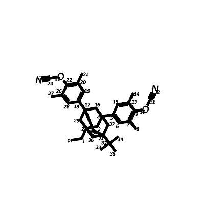 CCC12CC3(c4cc(C)c(OC#N)c(C)c4)CC(c4cc(C)c(OC#N)c(C)c4)(C1)CC(C(C)(C)C)(C2)C3